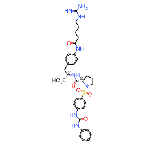 N=C(N)NCCCCC(=O)Nc1ccc(C[C@H](NC(=O)[C@@H]2CCCN2S(=O)(=O)c2ccc(NC(=O)Nc3ccccc3)cc2)C(=O)O)cc1